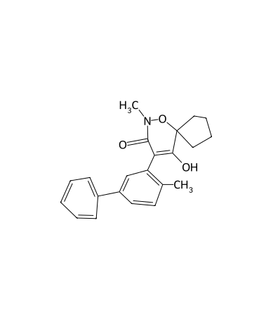 Cc1ccc(-c2ccccc2)cc1C1=C(O)C2(CCCC2)ON(C)C1=O